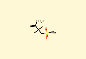 C=C(C(=O)O)C(C)(C)CS(=O)(=O)C(C)(C)C